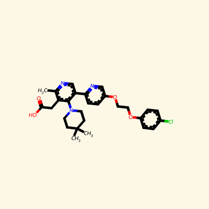 Cc1ncc(-c2ccc(OCCOc3ccc(Cl)cc3)cn2)c(N2CCC(C)(C)CC2)c1CC(=O)O